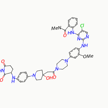 CNC(=O)c1ccccc1Nc1nc(Nc2ccc(N3CCN(C(=O)CC4(O)CCN(c5ccc(NC6CCC(=O)NC6=O)cc5)CC4)CC3)cc2OC)ncc1Cl